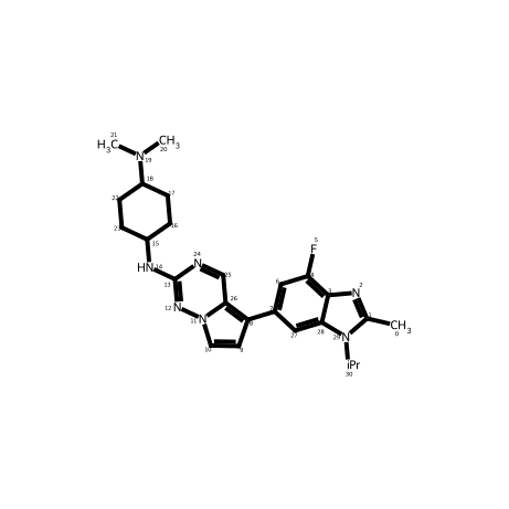 Cc1nc2c(F)cc(-c3ccn4nc(NC5CCC(N(C)C)CC5)ncc34)cc2n1C(C)C